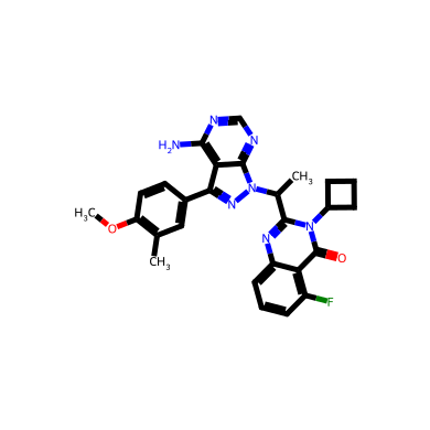 COc1ccc(-c2nn(C(C)c3nc4cccc(F)c4c(=O)n3C3CCC3)c3ncnc(N)c23)cc1C